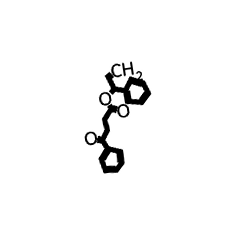 C=CC(OC(=O)CCC(=O)c1ccccc1)c1ccccc1